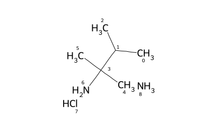 CC(C)C(C)(C)N.Cl.N